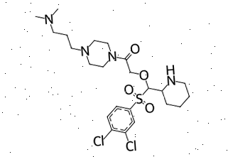 CN(C)CCCN1CCN(C(=O)COC(C2CCCCN2)S(=O)(=O)c2ccc(Cl)c(Cl)c2)CC1